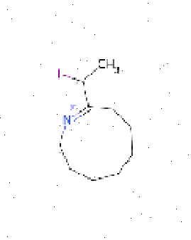 CC(I)/C1=N/CCCCCCC1